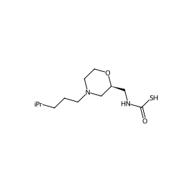 CC(C)CCCN1CCO[C@@H](CNC(=O)S)C1